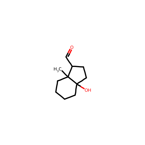 CC12CCCCC1(O)CCC2C=O